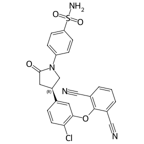 N#Cc1cccc(C#N)c1Oc1cc([C@H]2CC(=O)N(c3ccc(S(N)(=O)=O)cc3)C2)ccc1Cl